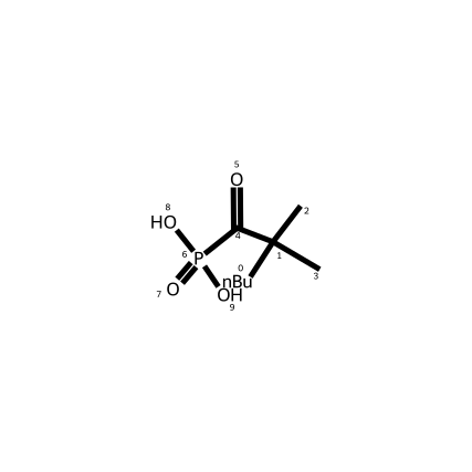 CCCCC(C)(C)C(=O)P(=O)(O)O